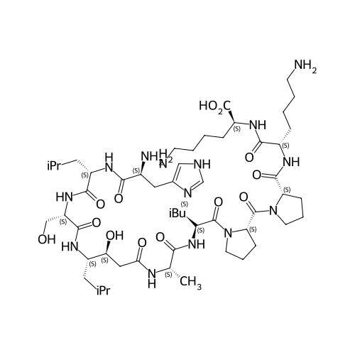 CC[C@H](C)[C@H](NC(=O)[C@H](C)NC(=O)C[C@H](O)[C@H](CC(C)C)NC(=O)[C@H](CO)NC(=O)[C@H](CC(C)C)NC(=O)[C@@H](N)Cc1c[nH]cn1)C(=O)N1CCC[C@H]1C(=O)N1CCC[C@H]1C(=O)N[C@@H](CCCCN)C(=O)N[C@@H](CCCCN)C(=O)O